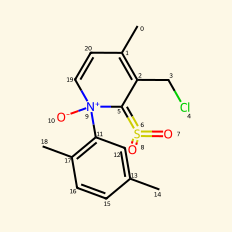 CC1=C(CCl)C(=S(=O)=O)[N+]([O-])(c2cc(C)ccc2C)C=C1